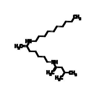 C=C(CCCCCNC(=C)CC(C)C)NCCCCCCCCCC